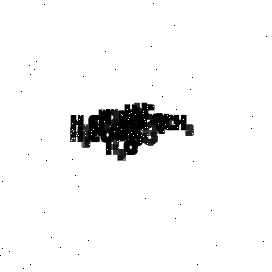 Cc1cn(C)nc1[C@H](Nc1c(Nc2ccnc(C(=O)N(C)C)c2O)c(=O)c1=O)C1(C)CCCC1.O